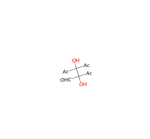 CC(=O)C(O)([C]=O)C(O)(C(C)=O)C(C)=O